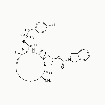 N[C@H]1CCCCC/C=C\[C@@H]2C[C@@]2(C(=O)NS(=O)(=O)Nc2ccc(Cl)cc2)NC(=O)[C@@H]2C[C@@H](OC(=O)N3Cc4ccccc4C3)CN2C1=O